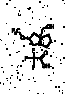 O=C(O)C(F)(F)F.OC[C@]12CCCN1C[C@@H](OC(F)(F)F)C2